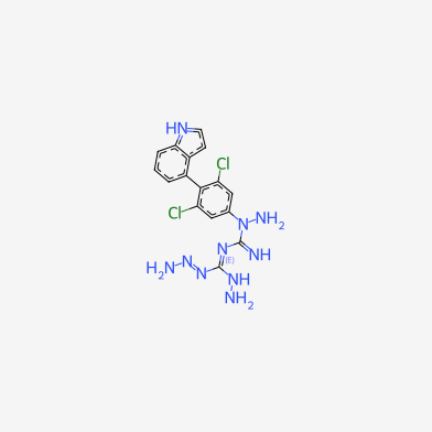 N=C(/N=C(/N=NN)NN)N(N)c1cc(Cl)c(-c2cccc3[nH]ccc23)c(Cl)c1